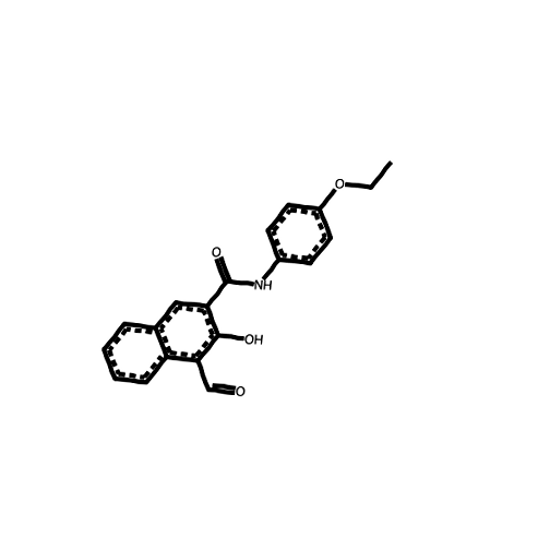 CCOc1ccc(NC(=O)c2cc3ccccc3c(C=O)c2O)cc1